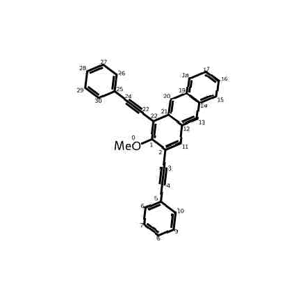 COc1c(C#Cc2ccccc2)cc2cc3ccccc3cc2c1C#Cc1ccccc1